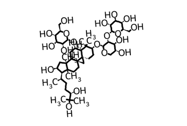 C[C@H](CC[C@H](O)C(C)(C)O)[C@H]1[C@@H](O)C[C@@]2(C)[C@@H]3C[C@H](O[C@@H]4O[C@H](CO)[C@@H](O)[C@H](O)[C@H]4O)[C@H]4C(C)(C)[C@@H](O[C@@H]5OC[C@@H](O)[C@H](O)[C@H]5O[C@@H]5O[C@H](CO)[C@@H](O)[C@H](O)[C@H]5O)CC[C@@]45C[C@@]35CC[C@]12C